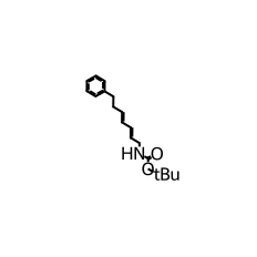 CC(C)(C)OC(=O)NC/C=C/C=C/CCc1ccccc1